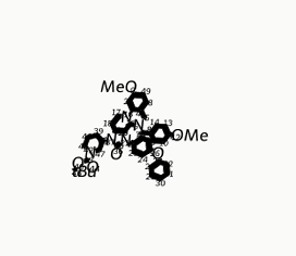 COc1ccc(CN(Cc2ccc(OC)cc2)c2nccc3c2n(-c2ccc(Oc4ccccc4)cc2)c(=O)n3[C@@H]2CCCN(C(=O)OC(C)(C)C)C2)cc1